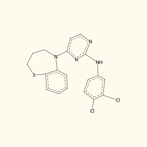 Clc1ccc(Nc2nccc(N3CCCSc4ccccc43)n2)cc1Cl